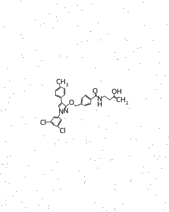 C=C(O)CCNC(=O)c1ccc(COc2nn(-c3cc(Cl)cc(Cl)c3)cc2-c2ccc(C)cc2)cc1